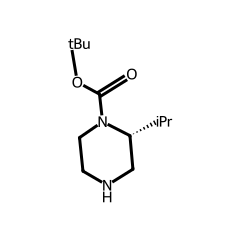 CC(C)[C@@H]1CNCCN1C(=O)OC(C)(C)C